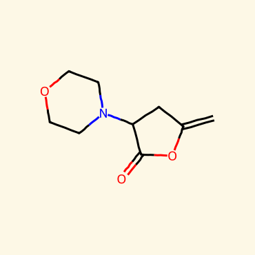 C=C1CC(N2CCOCC2)C(=O)O1